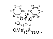 COC(=O)CC(C(=O)OC)P(=O)(Oc1ccccc1)Oc1ccccc1